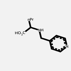 CCCC(NCc1ccncc1)C(=O)O